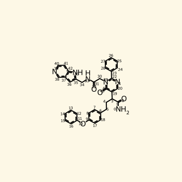 NC(=O)C(CCc1ccc(Oc2ccccc2)cc1)c1cnc(-c2ccccc2)n(CC(=O)NCc2cc3cnccc3[nH]2)c1=O